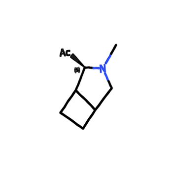 CC(=O)[C@@H]1C2CCC2CN1C